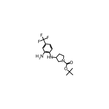 CC(C)(C)OC(=O)N1CCC(Nc2ccc(C(F)(F)F)cc2N)C1